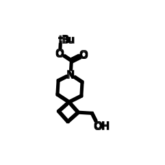 CC(C)(C)OC(=O)N1CCC2(CCC2CO)CC1